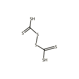 S=C(S)SSC(=S)S